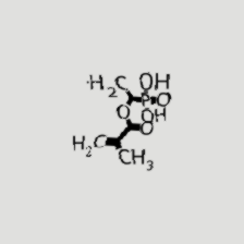 [CH2]C(OC(=O)C(=C)C)P(=O)(O)O